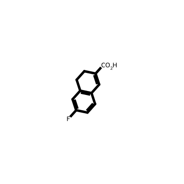 O=C(O)C1=Cc2ccc(F)cc2CC1